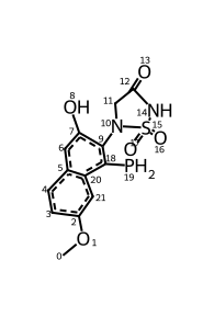 COc1ccc2cc(O)c(N3CC(=O)NS3(=O)=O)c(P)c2c1